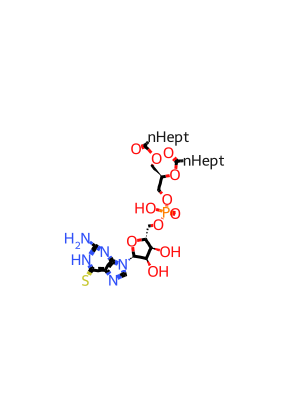 CCCCCCCC(=O)OC[C@H](COP(=O)(O)OC[C@H]1O[C@@H](n2cnc3c(=S)[nH]c(N)nc32)[C@H](O)[C@@H]1O)OC(=O)CCCCCCC